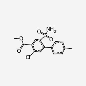 COC(=O)c1cc(S(N)(=O)=O)c(-c2ccc(C)cc2)cc1Cl